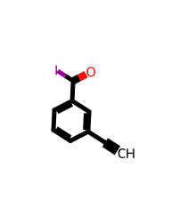 C#Cc1cccc(C(=O)I)c1